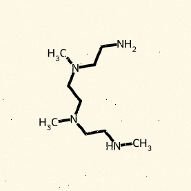 CNCCN(C)CCN(C)CCN